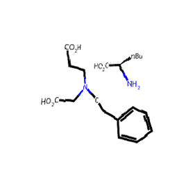 CCCC[C@@H](N)C(=O)O.O=C(O)CCN(CCc1ccccc1)CC(=O)O